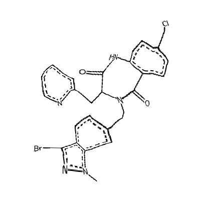 Cn1nc(Br)c2ccc(CN3C(=O)c4ccc(Cl)cc4NC(=O)C3Cc3ccccn3)cc21